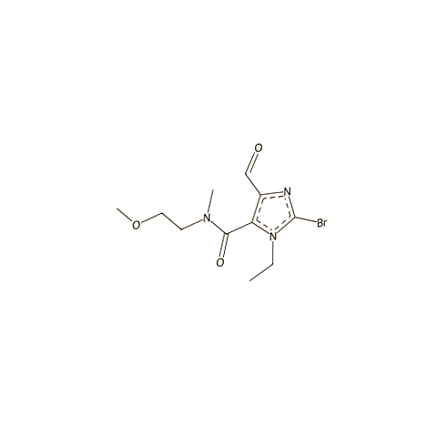 CCn1c(Br)nc(C=O)c1C(=O)N(C)CCOC